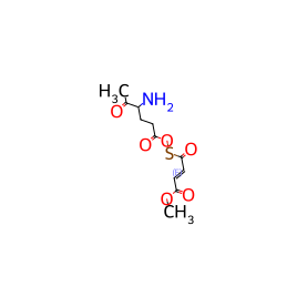 COC(=O)/C=C/C(=O)SOC(=O)CCC(N)C(C)=O